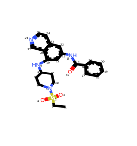 CCS(=O)(=O)N1CCC(Nc2cc(NC(=O)c3ccccc3)cc3ccncc23)CC1